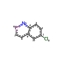 Clc1ccc2npccc2c1